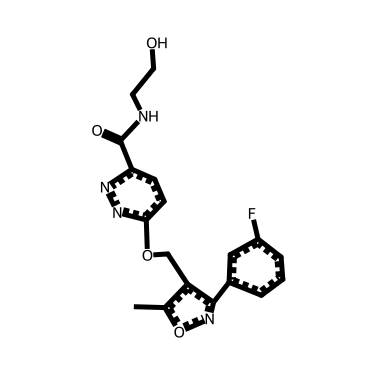 Cc1onc(-c2cccc(F)c2)c1COc1ccc(C(=O)NCCO)nn1